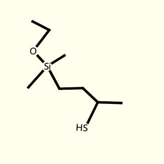 CCO[Si](C)(C)CCC(C)S